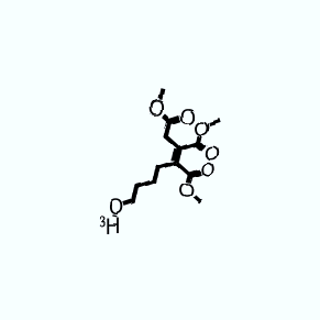 [3H]OCCCC/C(C(=O)OC)=C(\CC(=O)OC)C(=O)OC